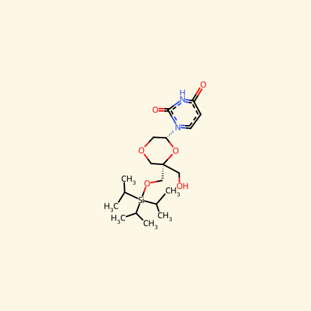 CC(C)[Si](OC[C@]1(CO)COC[C@H](n2ccc(=O)[nH]c2=O)O1)(C(C)C)C(C)C